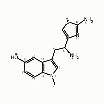 Cn1cc(C[C@H](N)c2csc(N)n2)c2cc(O)ccc21